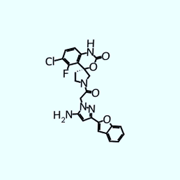 Nc1cc(-c2cc3ccccc3o2)nn1CC(=O)N1CC[C@@]2(C1)OC(=O)Nc1ccc(Cl)c(F)c12